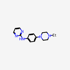 CCN1CCN(c2ccc(Nc3ncccn3)cc2)CC1